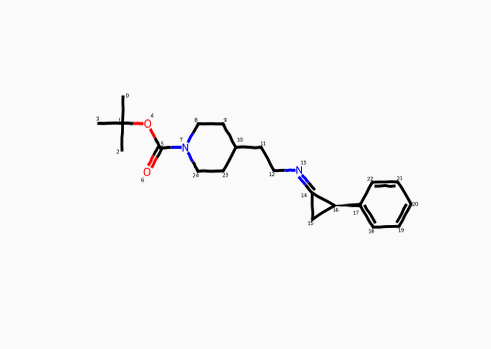 CC(C)(C)OC(=O)N1CCC(CC/N=C2\C[C@@H]2c2ccccc2)CC1